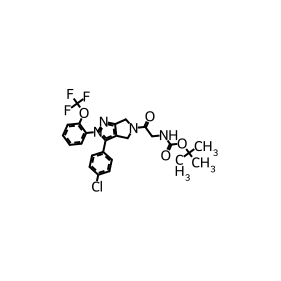 CC(C)(C)OC(=O)NCC(=O)N1Cc2nn(-c3ccccc3OC(F)(F)F)c(-c3ccc(Cl)cc3)c2C1